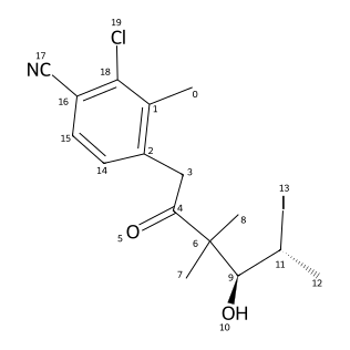 Cc1c(CC(=O)C(C)(C)[C@H](O)[C@@H](C)I)ccc(C#N)c1Cl